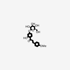 COc1ccc(/C=C/C(=O)c2ccc(O[C@@H]3O[C@H](CO)[C@@H](O)[C@H](O)[C@H]3O)cc2O)cc1